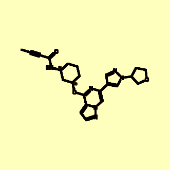 CC#CC(=O)N[C@H]1CCC[C@@H](Oc2nc(-c3cnn(C4CCOC4)c3)cn3nccc23)C1